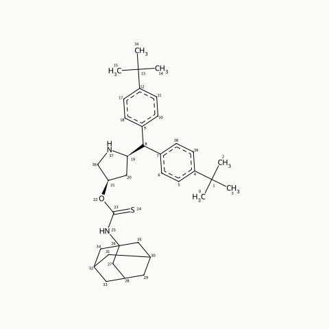 CC(C)(C)c1ccc(C(c2ccc(C(C)(C)C)cc2)[C@H]2C[C@@H](OC(=S)NC34CC5CC(CC(C5)C3)C4)CN2)cc1